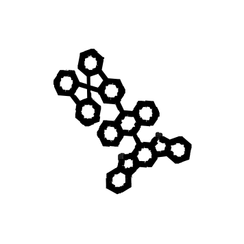 c1ccc2c(c1)-c1ccccc1C21c2ccccc2-c2ccc(-c3c4ccccc4c(-c4c5oc6ccccc6c5cc5c4oc4ccccc45)c4ccccc34)cc21